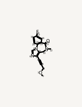 COCC#Cc1ncn2c1CN(C)C(=O)c1cc(F)ccc1-2